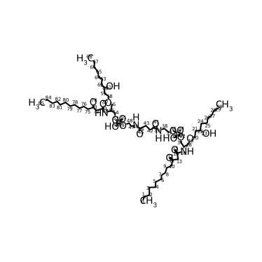 CCCCCCCCCCCC(=O)CC(=O)NC(COCC[C@H](O)CCCCCCC)COP(=O)(O)OCCNC(=O)CCC(=O)NCCOP(=O)(O)OCC(COCC[C@H](O)CCCCCCC)NC(=O)CC(=O)CCCCCCCCCCC